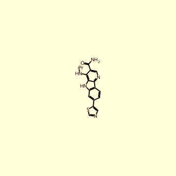 CC(C)Nc1c(C(N)=O)cnc2c1[nH]c1cc(-c3cncs3)ccc12